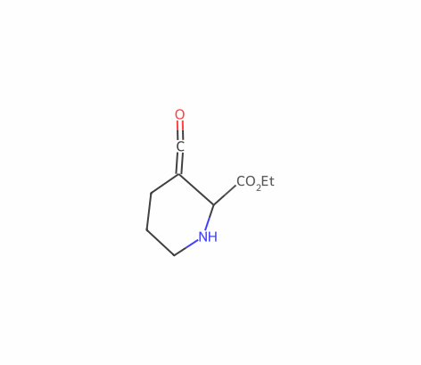 CCOC(=O)C1NCCCC1=C=O